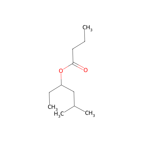 CCCC(=O)OC(CC)CC(C)C